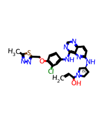 C=CC(O)N1CC[C@H](Nc2ccc3ncnc(Nc4ccc(OCc5nnc(C)s5)c(Cl)c4)c3n2)C1